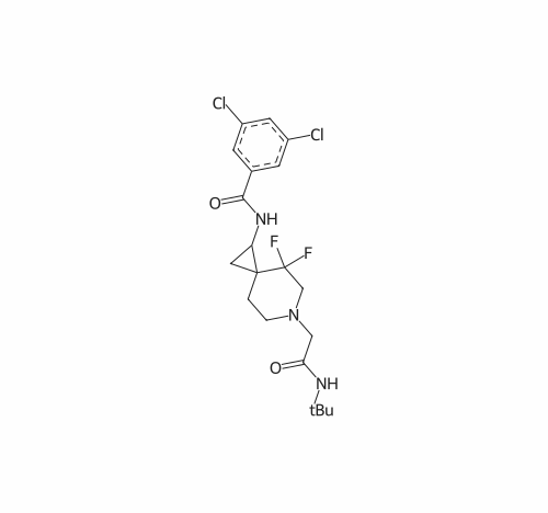 CC(C)(C)NC(=O)CN1CCC2(CC2NC(=O)c2cc(Cl)cc(Cl)c2)C(F)(F)C1